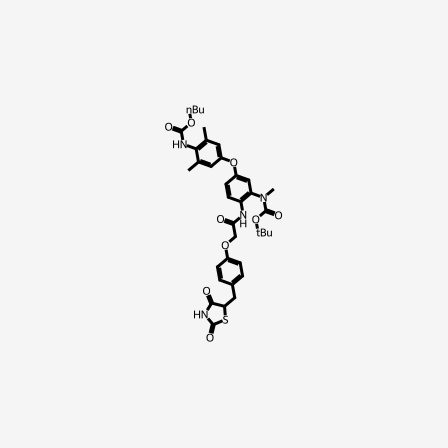 CCCCOC(=O)Nc1c(C)cc(Oc2ccc(NC(=O)COc3ccc(CC4SC(=O)NC4=O)cc3)c(N(C)C(=O)OC(C)(C)C)c2)cc1C